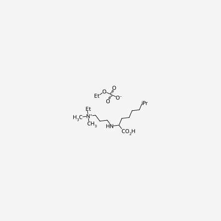 CCOS(=O)(=O)[O-].CC[N+](C)(C)CCCNC(CCCCC(C)C)C(=O)O